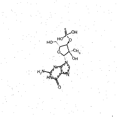 C[C@@]1(O)[C@H](OP(O)(O)=S)[C@@H](CO)O[C@H]1n1cnc2c(=O)[nH]c(N)nc21